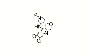 COc1cc2nc3c(c(N[C@@H]4CCCN(C5CC5)C4)c2cc1OC)CCOCC3